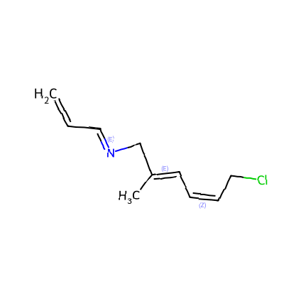 C=C/C=N/C/C(C)=C/C=C\CCl